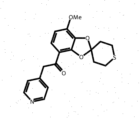 COc1ccc(C(=O)Cc2ccncc2)c2c1OC1(CCSCC1)O2